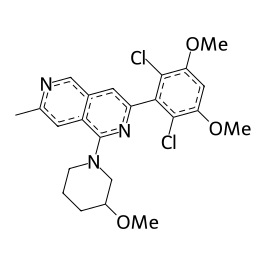 COc1cc(OC)c(Cl)c(-c2cc3cnc(C)cc3c(N3CCCC(OC)C3)n2)c1Cl